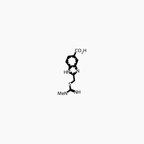 CNC(=N)SCc1nc2cc(C(=O)O)ccc2[nH]1